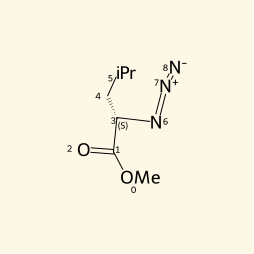 COC(=O)[C@H](CC(C)C)N=[N+]=[N-]